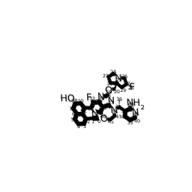 C#Cc1cccc2cc(O)cc(-c3nc4c5c(nc(OC[C@@]67CCCN6C[C@H](F)C7)nc5c3F)N([C@H](C)c3cccnc3N)CCO4)c12